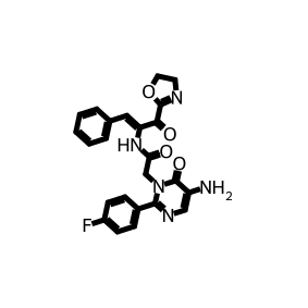 Nc1cnc(-c2ccc(F)cc2)n(CC(=O)NC(=Cc2ccccc2)C(=O)C2=NCCO2)c1=O